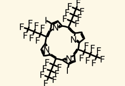 FC(F)(F)C(F)(F)C(F)(F)C1=C2C=CC(=N2)C(C(F)(F)C(F)(F)C(F)(F)F)=C2C=C(I)C(=N2)C(C(F)(F)C(F)(F)C(F)(F)F)=C2C=CC(=N2)C(C(F)(F)C(F)(F)C(F)(F)F)=C2N=C1C=C2I